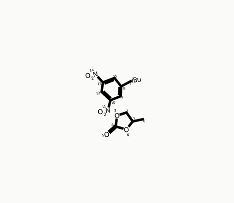 CC1COC(=O)O1.CCC(C)c1cc([N+](=O)[O-])cc([N+](=O)[O-])c1